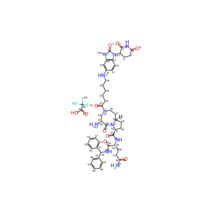 Cn1c(=O)n(C2CCC(=O)NC2=O)c2ccc(NCCCCCC(=O)N3CC[C@H]4CC[C@@H](C(=O)N[C@@H](CCC(N)=O)C(=O)NC(c5ccccc5)c5ccccc5)N4C(=O)[C@@H](N)C3)cc21.O=C(O)C(F)(F)F